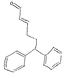 O=[C]C=CCCC(c1ccccc1)c1ccccc1